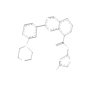 Cc1csc(NC(=O)c2cccc3cnc(-c4cccc(N5CCOCC5)c4)nc23)n1